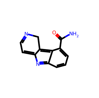 NC(=O)c1cccc2c1=C1CN=CC=C1N=2